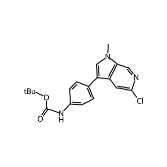 Cn1cc(-c2ccc(NC(=O)OC(C)(C)C)cc2)c2cc(Cl)ncc21